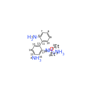 CCOCC.N.N.Nc1ccccc1-c1ccccc1N